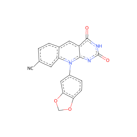 N#Cc1ccc2cc3c(=O)[nH]c(=O)nc-3n(-c3ccc4c(c3)OCO4)c2c1